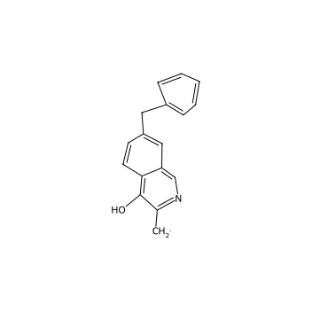 [CH2]c1ncc2cc(Cc3ccccc3)ccc2c1O